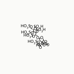 O=[SH](=O)O[C@H]1[C@H](OS(=O)(=O)O)[C@@H](OC[C@@H](OS(=O)(=O)O)[C@@H](OS(=O)(=O)O)[C@H](OS(=O)(=O)O)[C@@H](COS(=O)(=O)O)OS(=O)(=O)O)OC[C@H]1O[SH](=O)=O